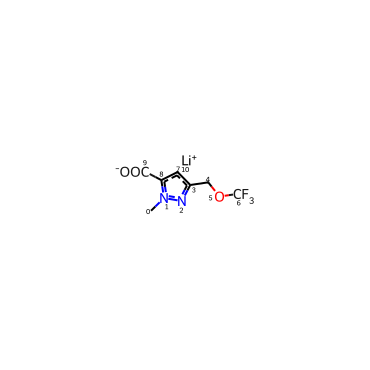 Cn1nc(COC(F)(F)F)cc1C(=O)[O-].[Li+]